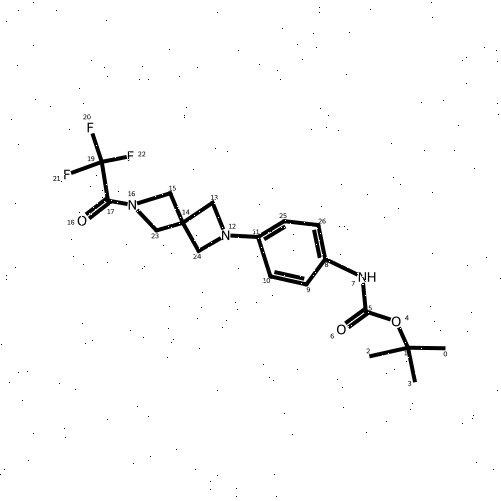 CC(C)(C)OC(=O)Nc1ccc(N2CC3(CN(C(=O)C(F)(F)F)C3)C2)cc1